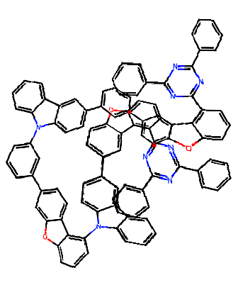 c1ccc(-c2nc(-c3ccccc3)nc(-c3cccc4oc5ccc(-c6cccc(-c7ccc8c(c7)c7ccccc7n8-c7cccc(-c8ccc9c(c8)oc8cccc(-n%10c%11ccccc%11c%11cc(-c%12ccc%13oc%14cccc(-c%15nc(-c%16ccccc%16)nc(-c%16ccccc%16)n%15)c%14c%13c%12)ccc%11%10)c89)c7)c6)cc5c34)n2)cc1